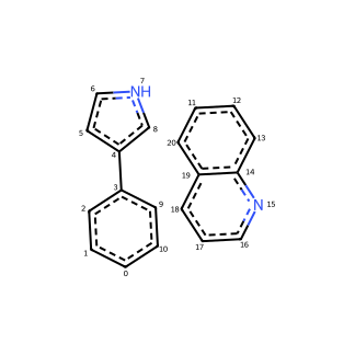 c1ccc(-c2cc[nH]c2)cc1.c1ccc2ncccc2c1